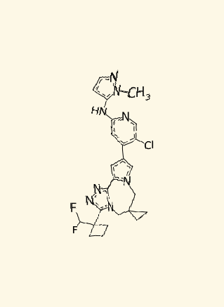 Cn1nccc1Nc1cc(-c2cc3n(c2)CC2(CC2)Cn2c-3nnc2C2(C(F)F)CCC2)c(Cl)cn1